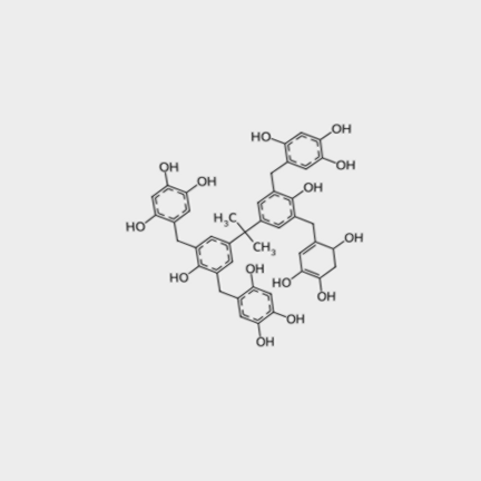 CC(C)(c1cc(CC2=CC(O)=C(O)CC2O)c(O)c(Cc2cc(O)c(O)cc2O)c1)c1cc(Cc2cc(O)c(O)cc2O)c(O)c(Cc2cc(O)c(O)cc2O)c1